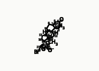 C[C@]12C=CC(=O)C=C1CC[C@@H]1[C@@H]2CC[C@@]2(C)[C@H]1CC[C@]2(C#CBr)O[N+](=O)[O-]